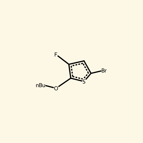 CCCCOc1sc(Br)cc1F